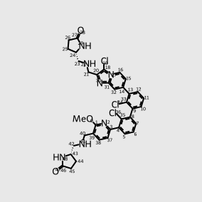 COc1nc(-c2cccc(-c3cccc(-c4ccn5c(Cl)c(CNC[C@@H]6CCC(=O)N6)nc5c4)c3Cl)c2Cl)ccc1CNC[C@@H]1CCC(=O)N1